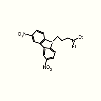 CCN(CC)CCCn1c2ccc([N+](=O)[O-])cc2c2cc([N+](=O)[O-])ccc21